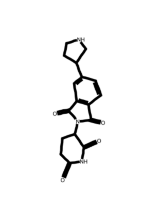 O=C1CCC(N2C(=O)c3ccc(C4CCNC4)cc3C2=O)C(=O)N1